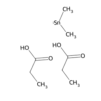 CCC(=O)O.CCC(=O)O.[CH3][Sn][CH3]